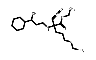 CCOCCCC(C=C=O)(NCCC(O)C1CCCCC1)C(=S)OCC